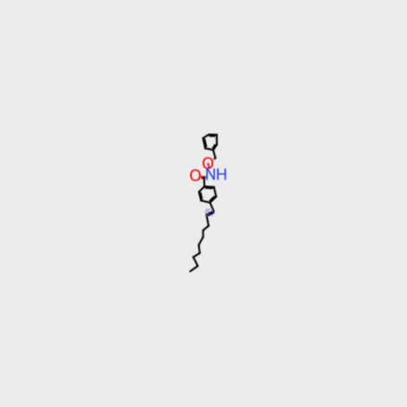 CCCCCCCC/C=C/c1ccc(C(=O)NOCc2ccccc2)cc1